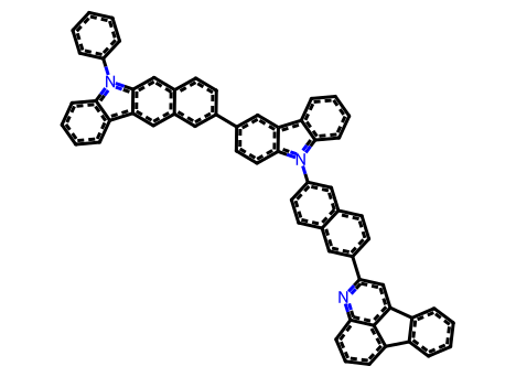 c1ccc(-n2c3ccccc3c3cc4cc(-c5ccc6c(c5)c5ccccc5n6-c5ccc6cc(-c7cc8c9c(cccc9n7)-c7ccccc7-8)ccc6c5)ccc4cc32)cc1